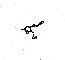 C#CCOC1C[C@H](C)O[C@@H]1CO